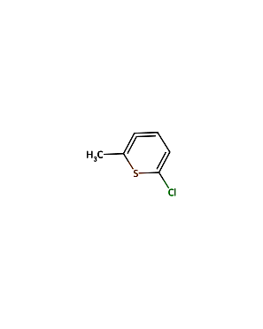 CC1=C=CC=C(Cl)S1